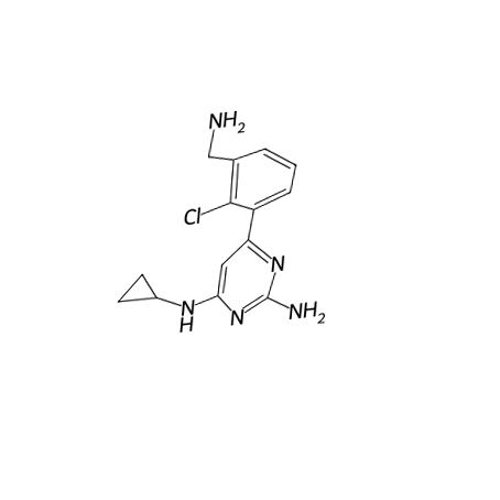 NCc1cccc(-c2cc(NC3CC3)nc(N)n2)c1Cl